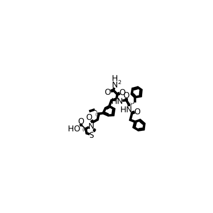 CC[C@@H](CC(=O)N1CSC[C@H]1C(=O)O)c1cccc(CC(NC(=O)[C@H](Cc2ccccc2)NC(=O)Cc2ccccc2)C(=O)C(N)=O)c1